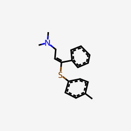 Cc1ccc(SC(=CCN(C)C)c2ccccc2)cc1